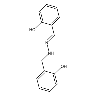 Oc1ccccc1C=NNCc1ccccc1O